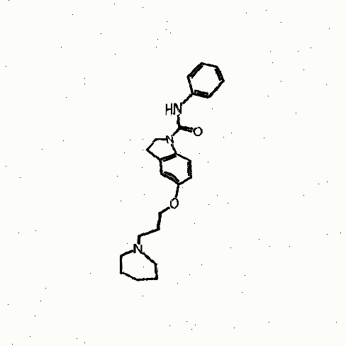 O=C(Nc1ccccc1)N1CCc2cc(OCCCN3CCCCC3)ccc21